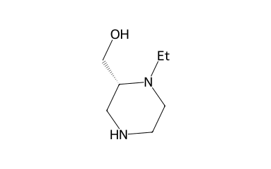 CCN1CCNC[C@@H]1CO